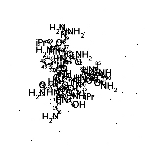 CC(C)C[C@H](NC(=O)[C@H](CO)NC(=O)[C@H](CCCCN)NC(=O)[C@H](CCC(N)=O)NC(=O)[C@H](CC(C)C)NC(=O)[C@H](Cc1ccccc1)NC(=O)[C@H](CCC(N)=O)NC(=O)[C@H](CCCN=C(N)N)NC(=O)[C@@H](N)CC(C)C)C(=O)N[C@@H](C)C(=O)N[C@@H](C)C(=O)N[C@@H](C)C(=O)N[C@@H](C)C(N)=O